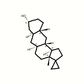 C[C@@]12CC[C@H]3C[C@H]4C[C@H](O)CC[C@@H]4C[C@@H]3[C@H]1CCC21CC1